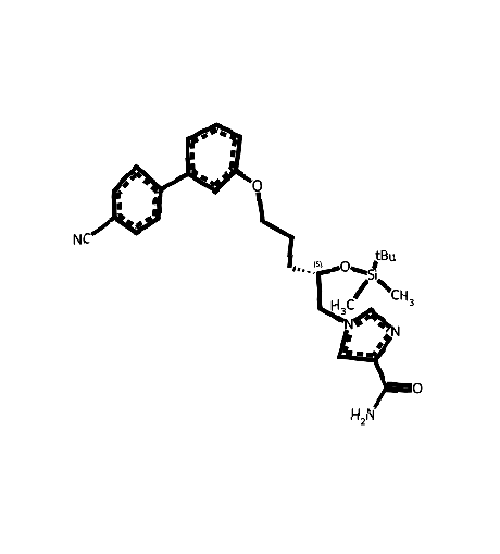 CC(C)(C)[Si](C)(C)O[C@@H](CCCOc1cccc(-c2ccc(C#N)cc2)c1)Cn1cnc(C(N)=O)c1